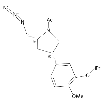 COc1ccc([C@@H]2C[C@H](CN=[N+]=[N-])N(C(C)=O)C2)cc1OC(C)C